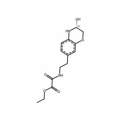 CCOC(=O)C(=O)NCCc1ccc2c(c1)OC[C@@H](O)N2